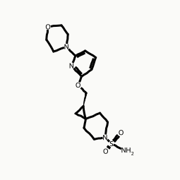 NS(=O)(=O)N1CCC2(CC1)C[C@H]2COc1cccc(N2CCOCC2)n1